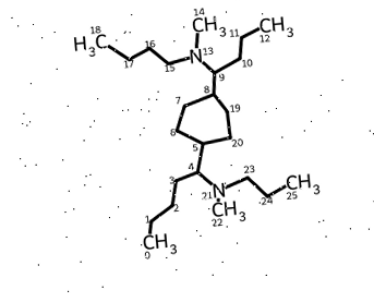 CCCCC(C1CCC(C(CCC)N(C)CCCC)CC1)N(C)CCC